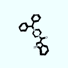 O=C(c1c[nH]c2ccccc12)N1CCN(C(c2ccccc2)c2ccccc2)CC1